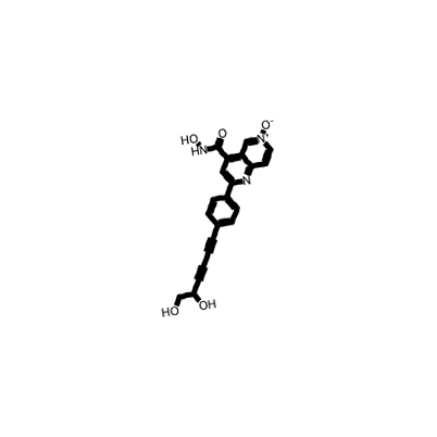 O=C(NO)c1cc(-c2ccc(C#CC#CC(O)CO)cc2)nc2cc[n+]([O-])cc12